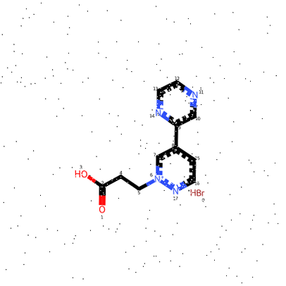 Br.O=C(O)CC[n+]1cc(-c2cnccn2)ccn1